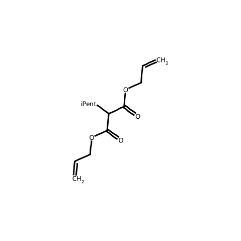 C=CCOC(=O)C(C(=O)OCC=C)C(C)CCC